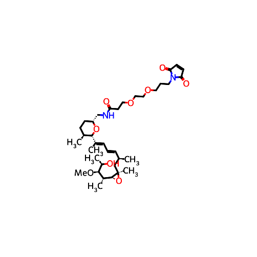 CO[C@H]([C@@H](C)[C@H]1O[C@]1(C)C[C@H](C)/C=C/C=C(\C)[C@H]1O[C@@H](CNC(=O)CCOCCOCCCN2C(=O)C=CC2=O)CC[C@@H]1C)[C@@H](C)O